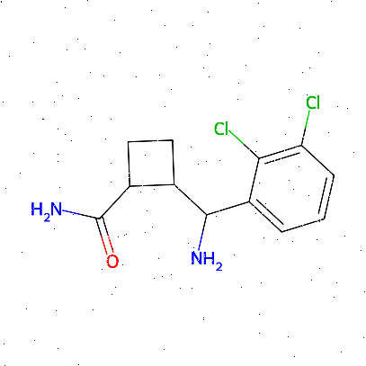 NC(=O)C1CCC1C(N)c1cccc(Cl)c1Cl